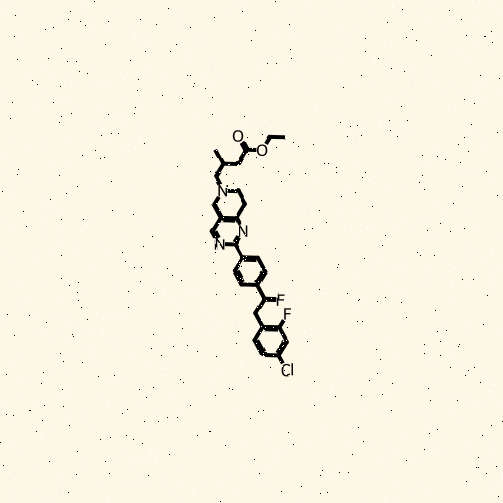 CCOC(=O)CC(C)CN1CCc2nc(-c3ccc(C(F)Cc4ccc(Cl)cc4F)cc3)ncc2C1